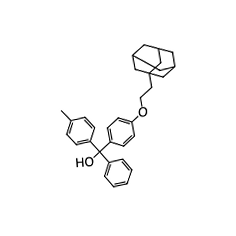 Cc1ccc(C(O)(c2ccccc2)c2ccc(OCCC34CC5CC(CC(C5)C3)C4)cc2)cc1